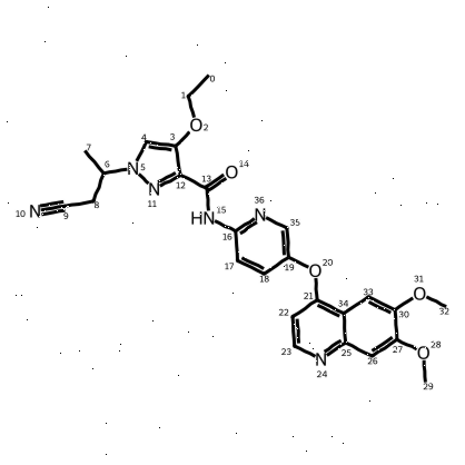 CCOc1cn(C(C)CC#N)nc1C(=O)Nc1ccc(Oc2ccnc3cc(OC)c(OC)cc23)cn1